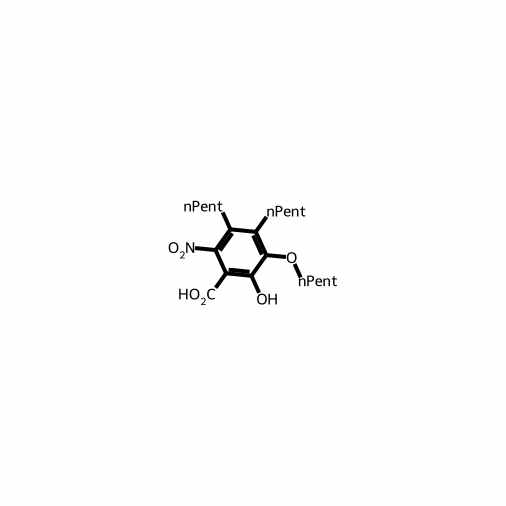 CCCCCOc1c(O)c(C(=O)O)c([N+](=O)[O-])c(CCCCC)c1CCCCC